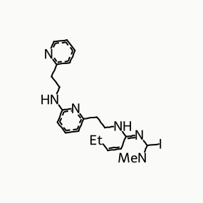 CC/C=C\C(=N/C(I)NC)NCCc1cccc(NCCc2ccccn2)n1